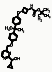 CC(C)(C)OC(=O)N[C@H]1C[C@H](Oc2ccc(C(C)(C)c3ccc(OCc4ccnc(C(O)C5CC5)n4)cc3)cc2)C1